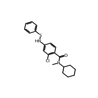 CN(C(=O)c1ccc(NSc2ccccc2)cc1Cl)C1CCCCC1